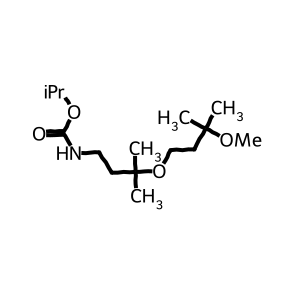 COC(C)(C)CCOC(C)(C)CCNC(=O)OC(C)C